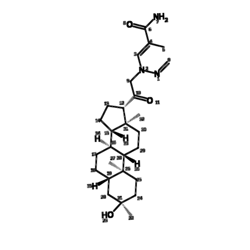 C=NN(/C=C(\C)C(N)=O)CC(=O)[C@H]1CC[C@H]2[C@@H]3CC[C@H]4C[C@](C)(O)CC[C@]4(C)[C@H]3CC[C@]12C